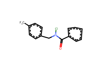 O=C(c1ccccc1)N(Cl)Cc1ccc(C(F)(F)F)cc1